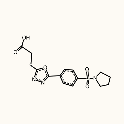 O=C(O)CSc1nnc(-c2ccc(S(=O)(=O)N3CCCC3)cc2)o1